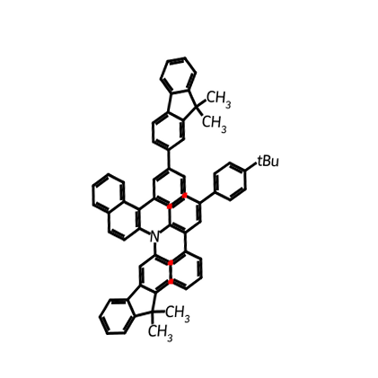 CC(C)(C)c1ccc(-c2ccc(N(c3ccc4c(c3)-c3ccccc3C4(C)C)c3ccc4ccccc4c3-c3cccc(-c4ccc5c(c4)C(C)(C)c4ccccc4-5)c3)c(-c3ccccc3)c2)cc1